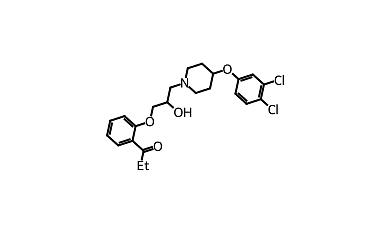 CCC(=O)c1ccccc1OCC(O)CN1CCC(Oc2ccc(Cl)c(Cl)c2)CC1